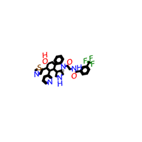 O=C(NCC(=O)N(c1ccccc1)[C@H]1CNCC1C1CCC(O)C(c2cncs2)C1c1cccnc1)c1cccc(C(F)(F)F)c1